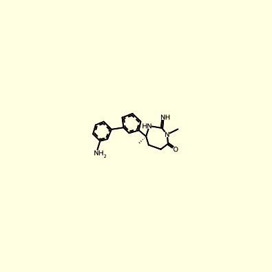 CN1C(=N)N[C@](C)(c2cccc(-c3cccc(N)c3)c2)CCC1=O